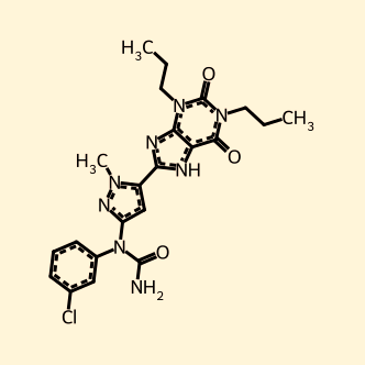 CCCn1c(=O)c2[nH]c(-c3cc(N(C(N)=O)c4cccc(Cl)c4)nn3C)nc2n(CCC)c1=O